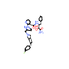 NC(=O)C(O)C(Cc1ccccc1)NC(=O)c1cccnc1-n1ccc(CN2CC3C[C@@H](c4ccc(F)cc4)C3C2)n1